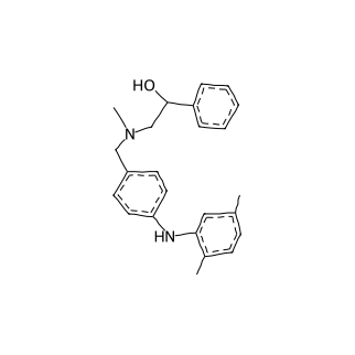 Cc1ccc(C)c(Nc2ccc(CN(C)CC(O)c3ccccc3)cc2)c1